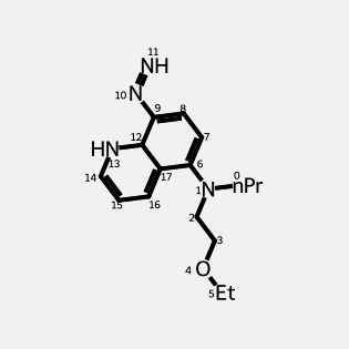 CCCN(CCOCC)C1=CC=C(N=N)C2NC=CC=C12